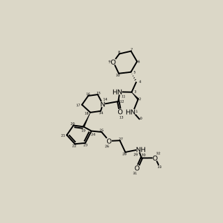 CNC[C@H](C[C@H]1CCCOC1)NC(=O)N1CCC[C@H](c2ccccc2COCCNC(=O)OC)C1